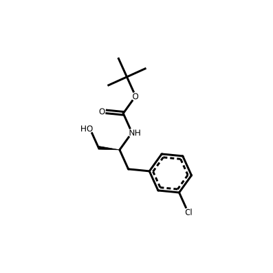 CC(C)(C)OC(=O)N[C@H](CO)Cc1cccc(Cl)c1